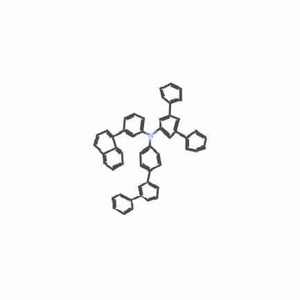 c1ccc(-c2cccc(-c3ccc(N(c4cc(-c5ccccc5)cc(-c5ccccc5)c4)c4cccc(-c5cccc6ccccc56)c4)cc3)c2)cc1